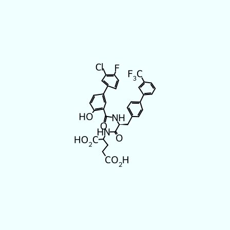 O=C(O)CCC(NC(=O)[C@H](Cc1ccc(-c2cccc(C(F)(F)F)c2)cc1)NC(=O)c1cc(-c2ccc(F)c(Cl)c2)ccc1O)C(=O)O